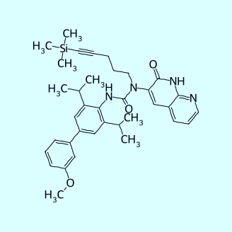 COc1cccc(-c2cc(C(C)C)c(NC(=O)N(CCCC#C[Si](C)(C)C)c3cc4cccnc4[nH]c3=O)c(C(C)C)c2)c1